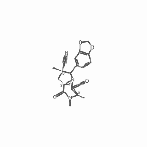 CN1C(=O)[C@@]23C[C@](C)(C#N)C(c4ccc5c(c4)OCO5)N2C(=O)[C@]1(C)SS3